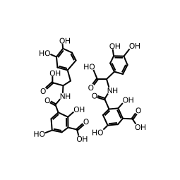 O=C(O)c1cc(O)cc(C(=O)NC(C(=O)O)c2ccc(O)c(O)c2)c1O.O=C(O)c1cc(O)cc(C(=O)NC(Cc2ccc(O)c(O)c2)C(=O)O)c1O